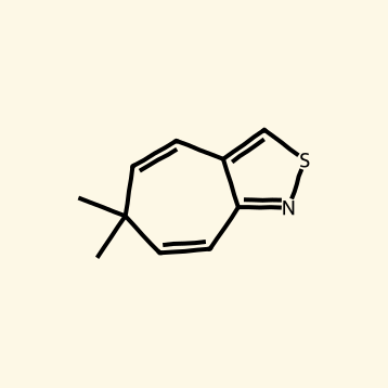 CC1(C)C=Cc2csnc2C=C1